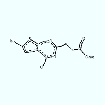 CCc1cc2c(Cl)nc(CCC(=O)OC)nc2s1